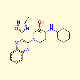 Cc1noc(-c2nc3ccccc3nc2N2CCC(NC3CCCCC3)[C@H](O)C2)n1